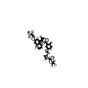 Cc1ccc(OC[C@@H]2CCN2C(=O)OC(C)(C)C)cc1C(=O)NC1(c2cc(OCC(F)(F)F)cc3ncccc23)CC1